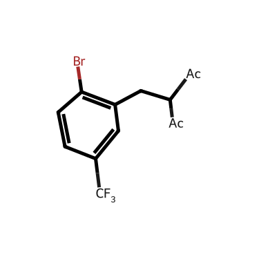 CC(=O)C(Cc1cc(C(F)(F)F)ccc1Br)C(C)=O